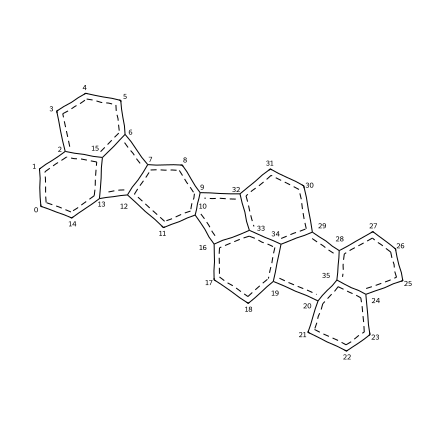 c1cc2cccc3c4cc5c(cc4c(c1)c23)c1ccc2c3cccc4cccc(c6ccc5c1c26)c43